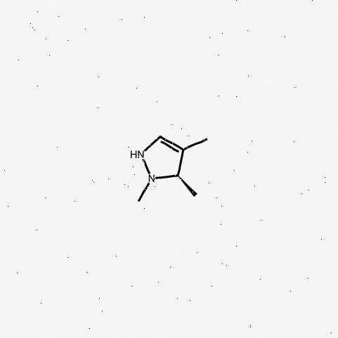 CC1=CNN(C)[C@@H]1C